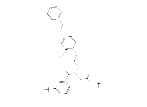 CC(C)(C)OC(=O)CN(CCCc1ccc(OCc2ccccc2)cc1Cl)C(=O)c1cccc(C(C)(C)C)c1